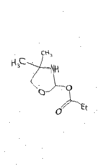 CCC(=O)OC1NC(C)(C)CO1